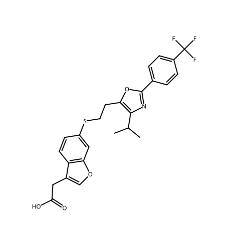 CC(C)c1nc(-c2ccc(C(F)(F)F)cc2)oc1CCSc1ccc2c(CC(=O)O)coc2c1